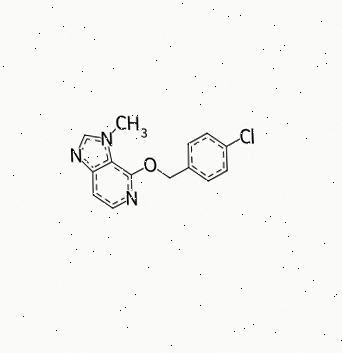 Cn1cnc2ccnc(OCc3ccc(Cl)cc3)c21